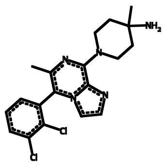 Cc1nc(N2CCC(C)(N)CC2)c2nccn2c1-c1cccc(Cl)c1Cl